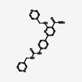 CNC(=O)c1ccc(-c2ccc(NC(=O)NCc3cccnc3)cc2)nc1NCc1ccncc1